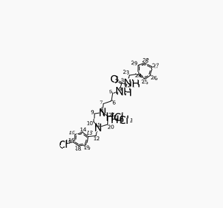 Cl.Cl.O=C(NCCCN1CCN(Cc2ccc(Cl)cc2)CC1)NCc1ccccc1